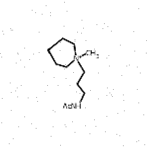 CC(=O)NCCC[N+]1(C)CCCCC1